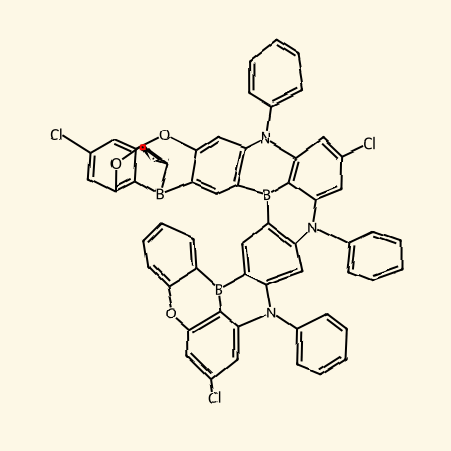 Clc1cc2c3c(c1)Oc1cc4c(cc1B3c1ccccc1O2)B1c2cc3c(cc2N(c2ccccc2)c2cc(Cl)cc(c21)N4c1ccccc1)N(c1ccccc1)c1cc(Cl)cc2c1B3c1ccccc1O2